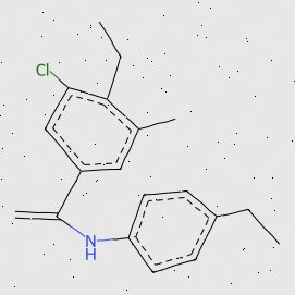 C=C(Nc1ccc(CC)cc1)c1cc(C)c(CC)c(Cl)c1